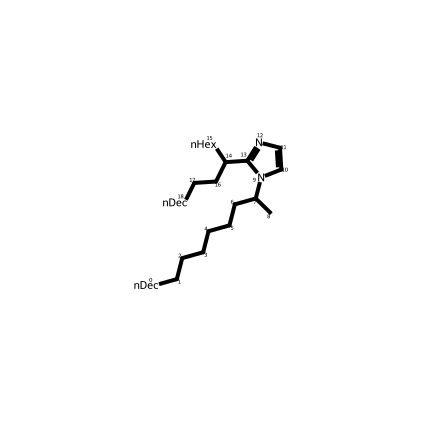 CCCCCCCCCCCCCCCCC(C)n1ccnc1C(CCCCCC)CCCCCCCCCCCC